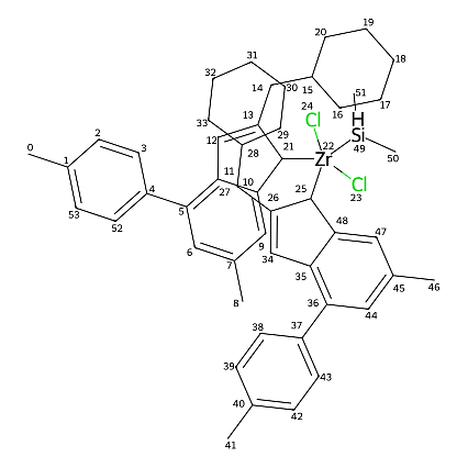 Cc1ccc(-c2cc(C)cc3c2C=C(CC2CCCCC2)[CH]3[Zr]([Cl])([Cl])([CH]2C(CC3CCCCC3)=Cc3c(-c4ccc(C)cc4)cc(C)cc32)[SiH](C)C)cc1